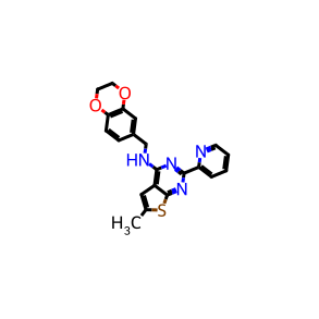 Cc1cc2c(NCc3ccc4c(c3)OCCO4)nc(-c3ccccn3)nc2s1